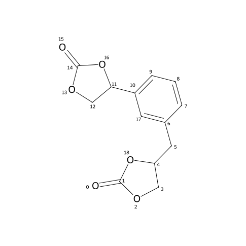 O=C1OCC(Cc2cccc(C3COC(=O)O3)c2)O1